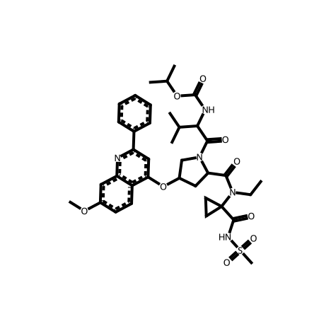 CCN(C(=O)C1CC(Oc2cc(-c3ccccc3)nc3cc(OC)ccc23)CN1C(=O)C(NC(=O)OC(C)C)C(C)C)C1(C(=O)NS(C)(=O)=O)CC1